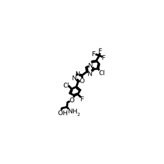 NC(CO)COc1cc(Cl)c(-c2nnc(-c3cn4cc(C(F)(F)F)cc(Cl)c4n3)o2)cc1F